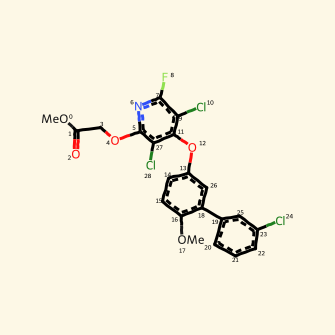 COC(=O)COc1nc(F)c(Cl)c(Oc2ccc(OC)c(-c3cccc(Cl)c3)c2)c1Cl